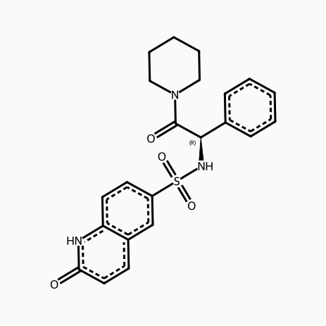 O=C([C@H](NS(=O)(=O)c1ccc2[nH]c(=O)ccc2c1)c1ccccc1)N1CCCCC1